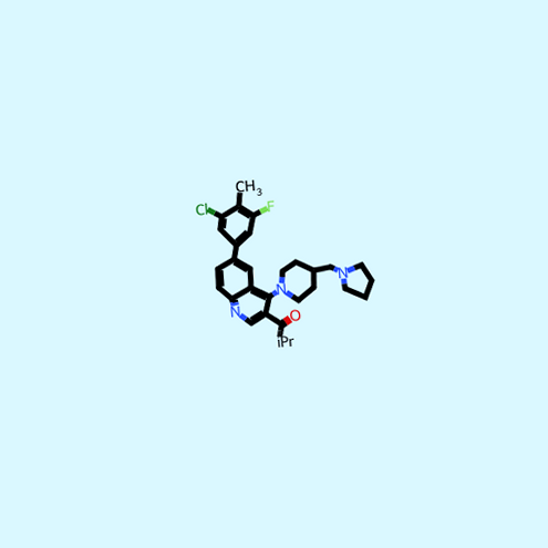 Cc1c(F)cc(-c2ccc3ncc(C(=O)C(C)C)c(N4CCC(CN5CCCC5)CC4)c3c2)cc1Cl